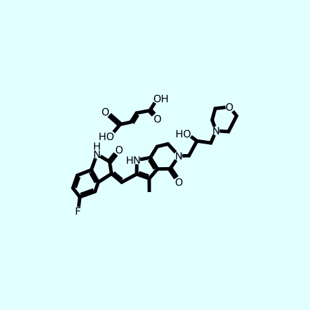 Cc1c(C=C2C(=O)Nc3ccc(F)cc32)[nH]c2c1C(=O)N(CC(O)CN1CCOCC1)CC2.O=C(O)C=CC(=O)O